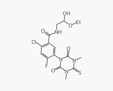 CCOC(O)CNC(=O)c1cc(-n2c(=O)n(C)c(=S)n(C)c2=O)c(F)cc1Cl